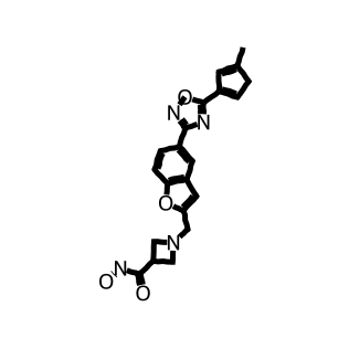 CC1=CC(c2nc(-c3ccc4oc(CN5CC(C(=O)N=O)C5)cc4c3)no2)=CC1